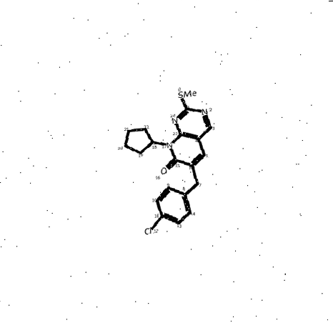 CSc1ncc2cc(Cc3ccc(Cl)cc3)c(=O)n(C3CCCC3)c2n1